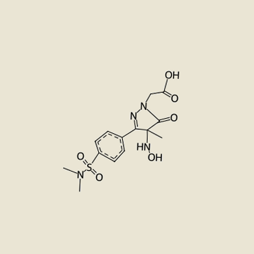 CN(C)S(=O)(=O)c1ccc(C2=NN(CC(=O)O)C(=O)C2(C)NO)cc1